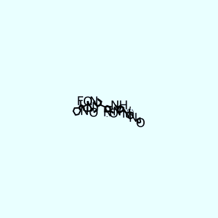 C[C@H]1CN(C2COC2)CCN1c1ccc(Nc2cc(-c3ccnc(N4CCn5c6c(c(F)c5C4=O)CCCC6)c3C=O)cn(C)c2=O)nc1